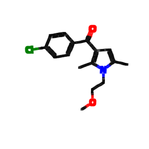 COCCn1c(C)cc(C(=O)c2ccc(Cl)cc2)c1C